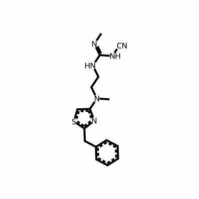 CN=C(NC#N)NCCN(C)c1csc(Cc2ccccc2)n1